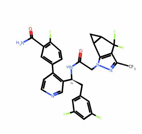 NC(=O)c1cc(-c2ccncc2[C@H](Cc2cc(F)cc(F)c2)NC(=O)Cn2nc(C(F)(F)F)c3c2C2CC2C3(F)F)ccc1F